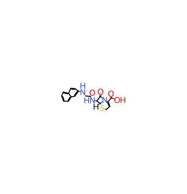 O=C(CNc1ccc2ccccc2c1)NC1C(=O)N2C(C(=O)O)=CCS[C@@H]12